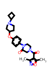 Cc1noc(C)c1C(=O)N1CCN(c2ccc(OC3CCN(C4CCC4)CC3)cc2)C(=O)C1